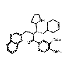 COc1ccc(C(=O)N(Cc2ccc3ccccc3c2)[C@@H](CC2CC=CCC2)C2CCCN2)cc1OC